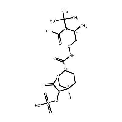 C[C@@H](CONC(=O)[C@@H]1CC[C@@H]2CN1C(=O)N2OS(=O)(=O)O)N(C(=O)O)C(C)(C)C